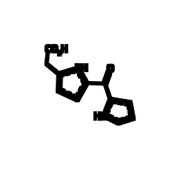 O=C(O)Cc1ccc(C(=O)c2ccc[nH]2)[nH]1